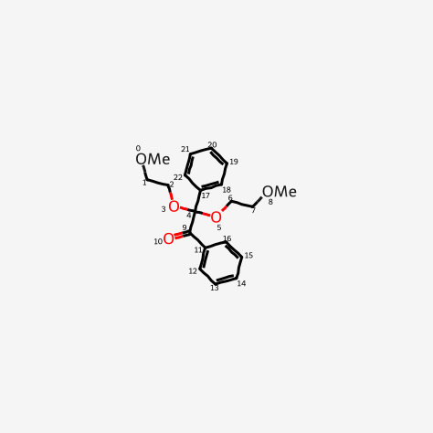 COCCOC(OCCOC)(C(=O)c1ccccc1)c1ccccc1